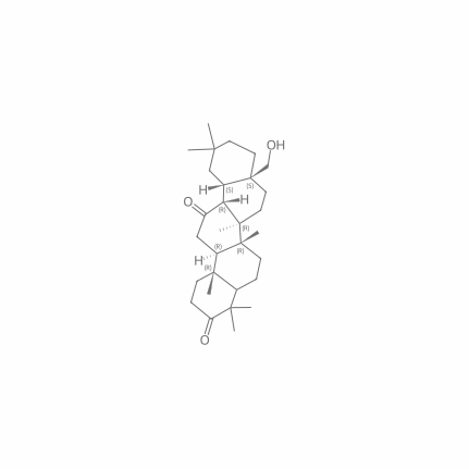 CC1(C)CC[C@]2(CO)CC[C@]3(C)[C@H](C(=O)C[C@@H]4[C@@]5(C)CCC(=O)C(C)(C)C5CC[C@]43C)[C@@H]2C1